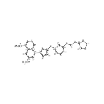 COc1cccc2c(-c3cn(Cc4cccc(COCC5CCCO5)n4)nn3)nc(N)nc12